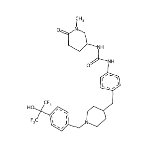 CN1CC(NC(=O)Nc2ccc(CC3CCN(Cc4ccc(C(O)(C(F)(F)F)C(F)(F)F)cc4)CC3)cc2)CCC1=O